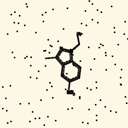 C[C](C)Cn1nc(C)c2cc([N+](=O)[O-])ccc21